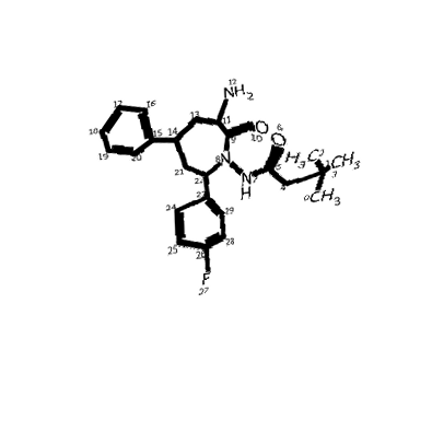 CC(C)(C)CC(=O)NN1C(=O)C(N)CC(c2ccccc2)CC1c1ccc(F)cc1